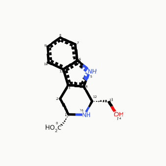 O=C(O)[C@@H]1Cc2c([nH]c3ccccc23)[C@H](CO)N1